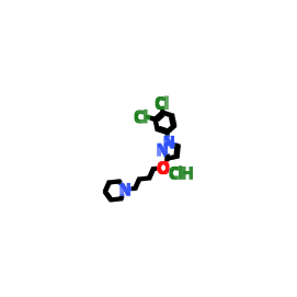 Cl.Clc1ccc(-n2ccc(OCCCCN3CCCCC3)n2)cc1Cl